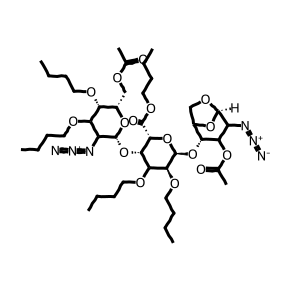 CCCCOC(=O)[C@@H]1O[C@@H](O[C@@H]2C3CO[C@H](O3)C(N=[N+]=[N-])C2OC(C)=O)[C@@H](OCCCC)C(OCCCC)[C@@H]1O[C@H]1O[C@@H](COC(C)=O)[C@@H](OCCCC)C(OCCCC)C1N=[N+]=[N-]